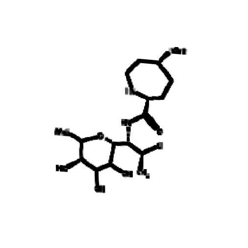 CCCCCCCC[C@@H]1CCN[C@H](C(=O)N[C@H]([C@H](C)Cl)[C@H]2OC(SC)[C@H](O)C(O)C2O)CC1